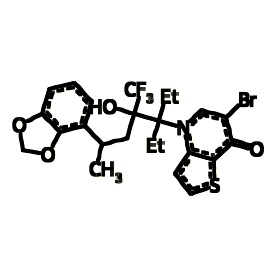 CCC(CC)(n1cc(Br)c(=O)c2sccc21)C(O)(CC(C)c1cccc2c1OCO2)C(F)(F)F